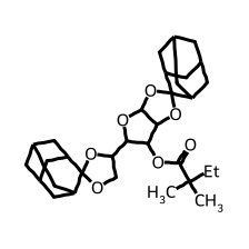 CCC(C)(C)C(=O)OC1C(C2COC3(O2)C2CC4CC(C2)CC3C4)OC2OC3(OC21)C1CC2CC(C1)CC3C2